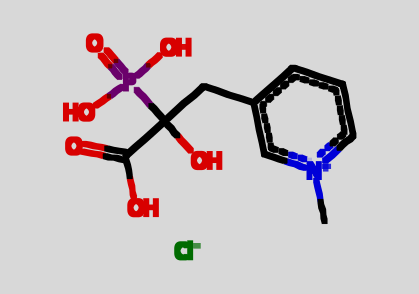 C[n+]1cccc(CC(O)(C(=O)O)P(=O)(O)O)c1.[Cl-]